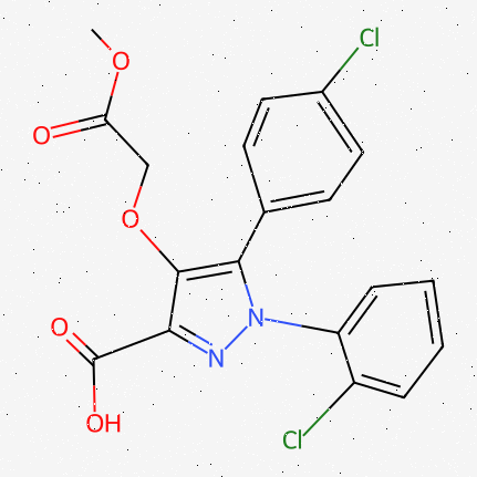 COC(=O)COc1c(C(=O)O)nn(-c2ccccc2Cl)c1-c1ccc(Cl)cc1